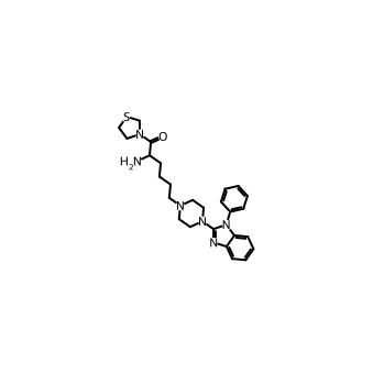 NC(CCCCN1CCN(c2nc3ccccc3n2-c2ccccc2)CC1)C(=O)N1CCSC1